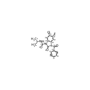 CC(C)NC(=O)N1C(=O)C(C(=O)c2cnccn2)c2cc(F)c(Cl)cc21